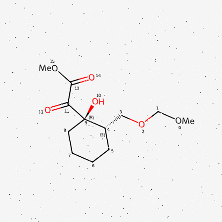 COCOC[C@@H]1CCCC[C@]1(O)C(=O)C(=O)OC